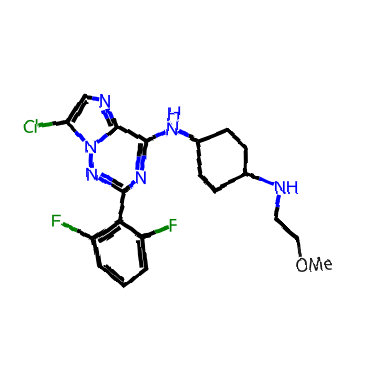 COCCNC1CCC(Nc2nc(-c3c(F)cccc3F)nn3c(Cl)cnc23)CC1